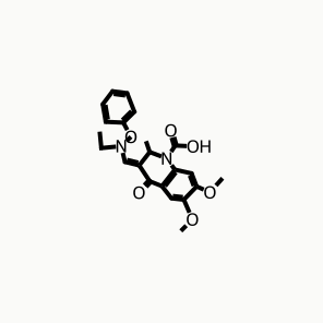 CCN(C=C1C(=O)c2cc(OC)c(OC)cc2N(C(=O)O)C1C)Oc1ccccc1